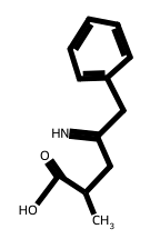 CC(CC(=N)Cc1ccccc1)C(=O)O